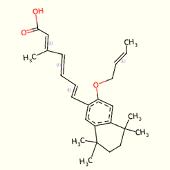 C/C=C/COc1cc2c(cc1/C=C/C=C/C(C)=C/C(=O)O)C(C)(C)CCC2(C)C